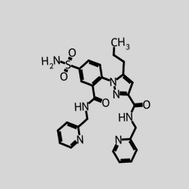 CCCc1cc(C(=O)NCc2ccccn2)nn1-c1ccc(S(N)(=O)=O)cc1C(=O)NCc1ccccn1